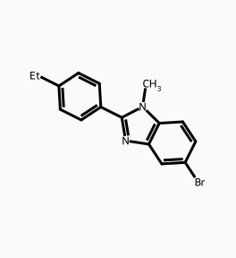 CCc1ccc(-c2nc3cc(Br)ccc3n2C)cc1